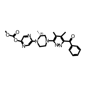 COC(=O)Oc1cnc(N2CCN(c3nnc(C(=O)c4ccccc4)c(C)c3C)C[C@H]2C)cn1